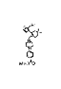 COC(=O)c1ccc(N2CCN(CC3=C(c4ccsc4C(C)C)CC(C)(C)CC3)CC2)cc1